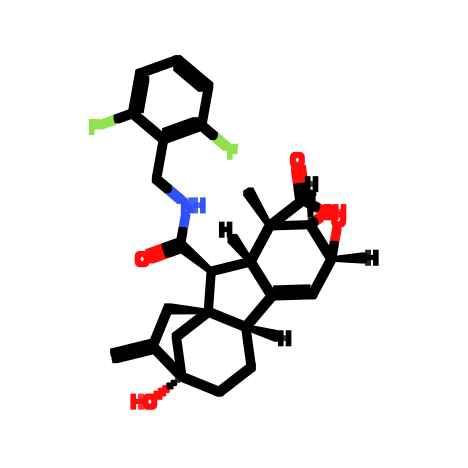 C=C1C[C@]23C[C@@]1(O)CC[C@H]2C1=C[C@H]2OC(=O)[C@@](C)([C@H]1[C@@H]3C(=O)NCc1c(F)cccc1F)[C@H]2O